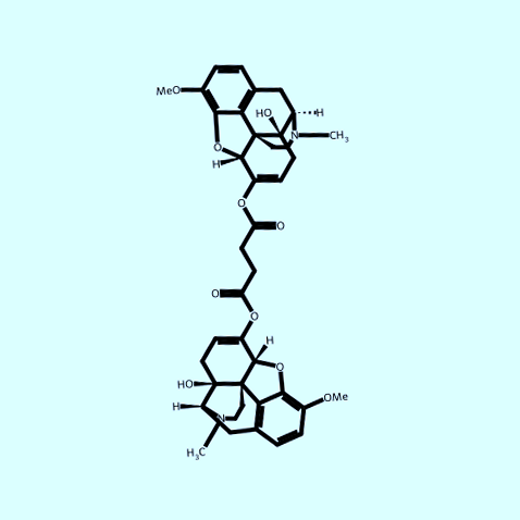 COc1ccc2c3c1O[C@H]1C(OC(=O)CCC(=O)OC4=CC[C@@]5(O)[C@H]6Cc7ccc(OC)c8c7[C@@]5(CCN6C)[C@H]4O8)=CC[C@@]4(O)[C@@H](C2)N(C)CC[C@]314